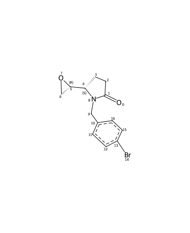 O=C1CC[C@@H]([C@@H]2CO2)N1Cc1ccc(Br)cc1